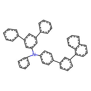 c1ccc(-c2cc(-c3ccccc3)cc(N(c3ccccc3)c3ccc(-c4cccc(-c5cccc6ccccc56)c4)cc3)c2)cc1